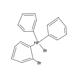 Brc1ccccc1[PH](Br)(c1ccccc1)c1ccccc1